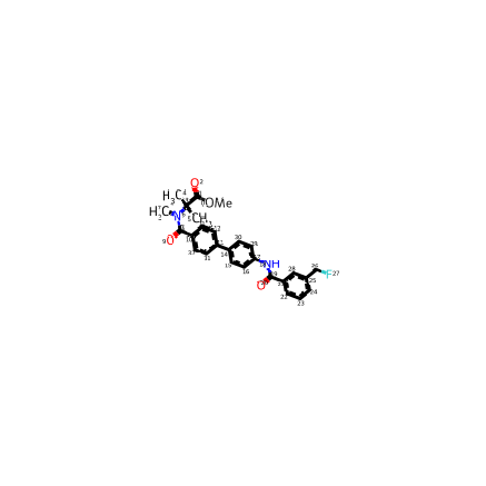 COC(=O)C(C)(C)N(C)C(=O)c1ccc(-c2ccc(NC(=O)c3cccc(CF)c3)cc2)cc1